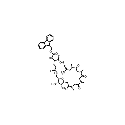 CN(CC(N)=O)C(=O)CN(C)C(=O)CN(C)C(=O)CN(C)C(=O)C[C@@H]1O[C@H](CNC(=O)CC[C@H](NC(=O)OCC2c3ccccc3-c3ccccc32)C(=O)O)[C@@H](O)[C@H]1O